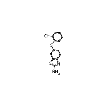 Nc1nc2ccc(Sc3ccccc3Cl)cc2s1